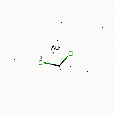 ClCCl.[Au]